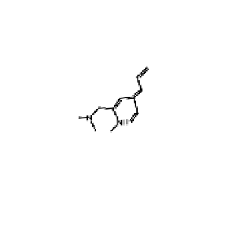 C=C/C=C(C=C)\C=C(\CN(C)C)NC